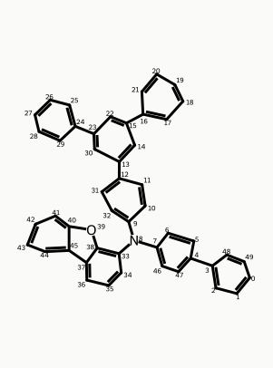 c1ccc(-c2ccc(N(c3ccc(-c4cc(-c5ccccc5)cc(-c5ccccc5)c4)cc3)c3cccc4c3oc3ccccc34)cc2)cc1